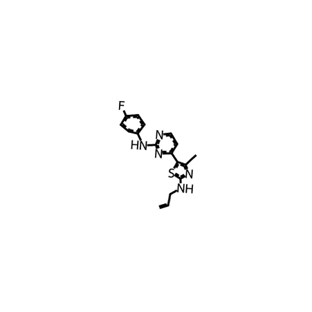 C=CCNc1nc(C)c(-c2ccnc(Nc3ccc(F)cc3)n2)s1